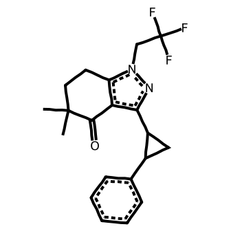 CC1(C)CCc2c(c(C3CC3c3ccccc3)nn2CC(F)(F)F)C1=O